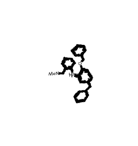 CNCc1ccccc1Pc1cc(CC2C=CC=CC2)ccc1OCc1ccccc1